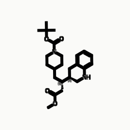 COC(=O)C[C@H](CC1CCN(C(=O)OC(C)(C)C)CC1)[C@@H]1CNc2ccccc2C1